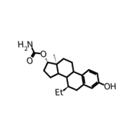 CC[C@@H]1Cc2cc(O)ccc2C2CC[C@@]3(C)C(CC[C@@H]3OC(N)=O)C21